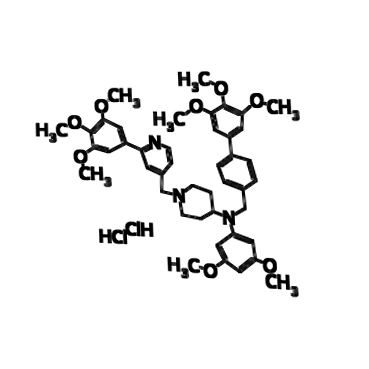 COc1cc(OC)cc(N(Cc2ccc(-c3cc(OC)c(OC)c(OC)c3)cc2)C2CCN(Cc3ccnc(-c4cc(OC)c(OC)c(OC)c4)c3)CC2)c1.Cl.Cl